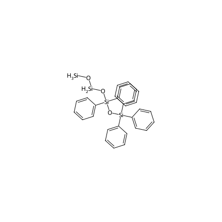 [SiH3]O[SiH2]O[Si](O[Si](c1ccccc1)(c1ccccc1)c1ccccc1)(c1ccccc1)c1ccccc1